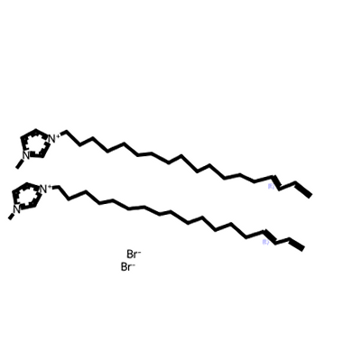 C=C/C=C/CCCCCCCCCCCCCC[n+]1ccn(C)c1.C=C/C=C/CCCCCCCCCCCCCC[n+]1ccn(C)c1.[Br-].[Br-]